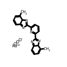 CC1=CC=CC2=NC(c3cccc(C4=NC5C(C)=CC=CC5=N4)n3)=NC12.[Cl-].[Cl-].[Cl-].[Nd+3]